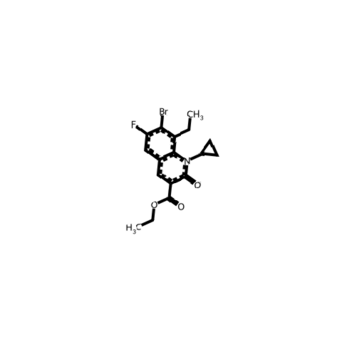 CCOC(=O)c1cc2cc(F)c(Br)c(CC)c2n(C2CC2)c1=O